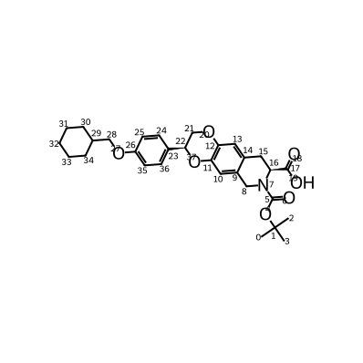 CC(C)(C)OC(=O)N1Cc2cc3c(cc2C[C@H]1C(=O)O)OC[C@H](c1ccc(OCC2CCCCC2)cc1)O3